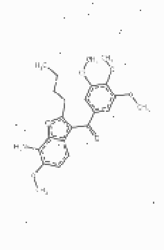 CCCCc1oc2c(N)c(OC)ccc2c1C(=O)c1cc(OC)c(OC)c(OC)c1